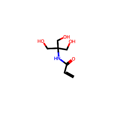 C=CC(=O)NC(CO)(CO)CO